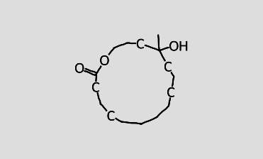 CC1(O)CCCCCCCCCCC(=O)OCCC1